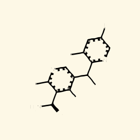 CC(c1cnc(Cl)c(C(N)=O)c1Cl)c1ncc(Br)cc1Cl